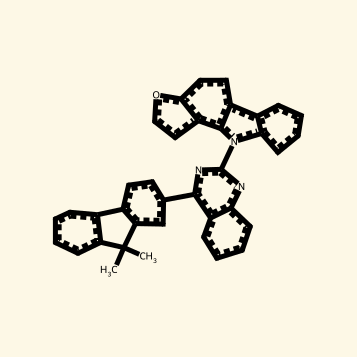 CC1(C)c2ccccc2-c2ccc(-c3nc(-n4c5ccccc5c5ccc6occc6c54)nc4ccccc34)cc21